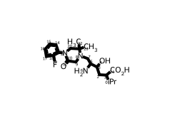 CC(C)C(CC(O)C(N)CN1CC(=O)N(c2ccccc2F)CC1(C)C)C(=O)O